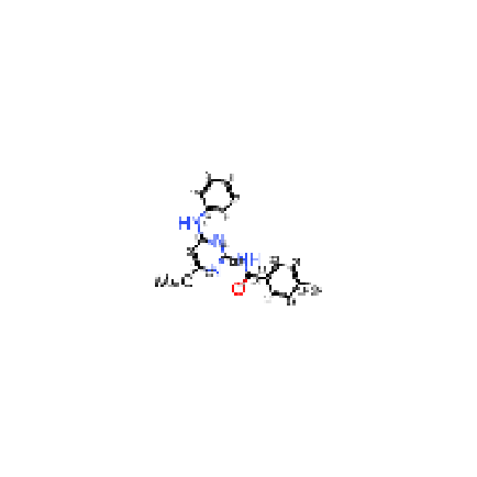 COc1cc(Nc2ccccc2)nc(NC(=O)c2ccc(C)cc2)n1